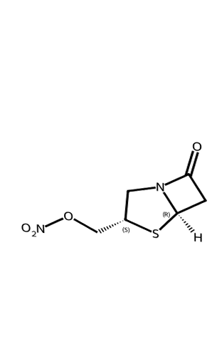 O=C1C[C@H]2S[C@H](CO[N+](=O)[O-])CN12